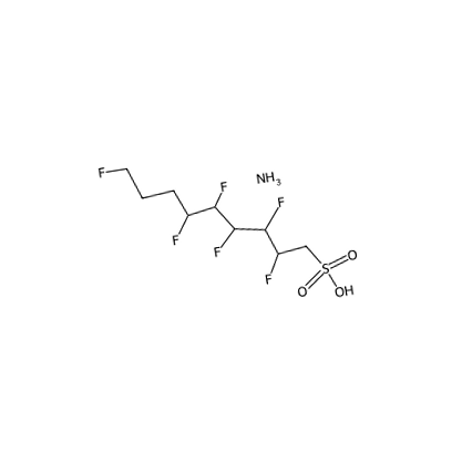 N.O=S(=O)(O)CC(F)C(F)C(F)C(F)C(F)CCCF